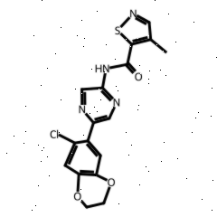 Cc1cnsc1C(=O)Nc1cnc(-c2cc3c(cc2Cl)OCCO3)cn1